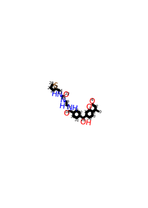 Cc1cc(=O)oc2cc(C(O)c3ccc(C(=O)NCCNC(=O)NCc4cccs4)cc3)ccc12